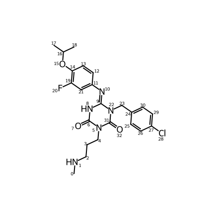 CNCCCn1c(=O)[nH]/c(=N\c2ccc(OC(C)C)c(F)c2)n(Cc2ccc(Cl)cc2)c1=O